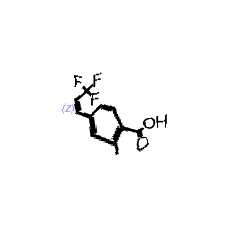 Cc1cc(/C=C\C(F)(F)F)ccc1C(=O)O